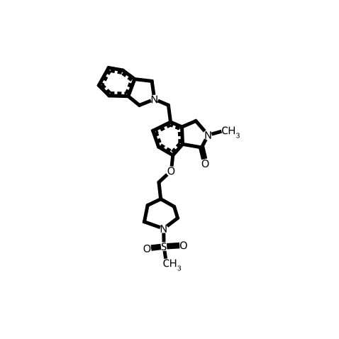 CN1Cc2c(CN3Cc4ccccc4C3)ccc(OCC3CCN(S(C)(=O)=O)CC3)c2C1=O